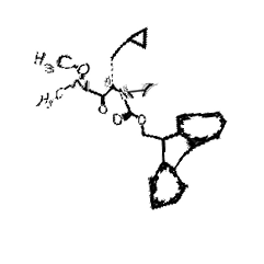 CON(C)C(=O)[C@H](CC1CC1)NC(=O)OCC1c2ccccc2-c2ccccc21